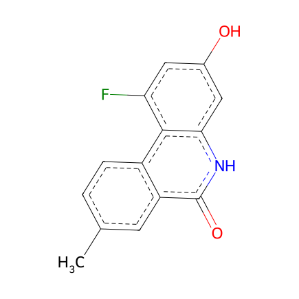 Cc1ccc2c(c1)c(=O)[nH]c1cc(O)cc(F)c12